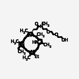 C=Cc1c(C)c2cc3nc(c(C)c4cc(C)c(cc5nc(cc1[nH]2)C(C)=C5CC)[nH]4)[C@@H](CCC(=O)N(C)CCOCCOCCO)[C@@H]3C